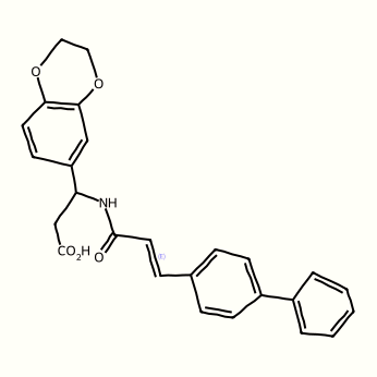 O=C(O)CC(NC(=O)/C=C/c1ccc(-c2ccccc2)cc1)c1ccc2c(c1)OCCO2